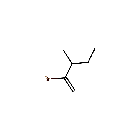 C=C(Br)C(C)CC